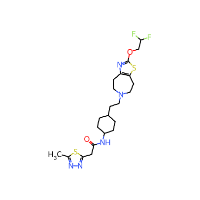 Cc1nnc(CC(=O)NC2CCC(CCN3CCc4nc(OCC(F)F)sc4CC3)CC2)s1